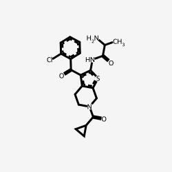 CC(N)C(=O)Nc1sc2c(c1C(=O)c1ccccc1Cl)CCN(C(=O)C1CC1)C2